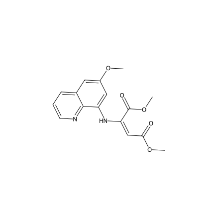 COC(=O)C=C(Nc1cc(OC)cc2cccnc12)C(=O)OC